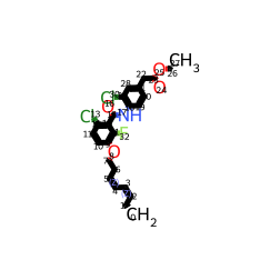 C=C/C=C\C=C/CCOc1ccc(Cl)c(C(=O)Nc2ccc(CC(=O)OCC)cc2Cl)c1F